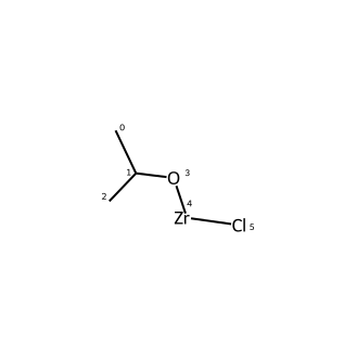 CC(C)[O][Zr][Cl]